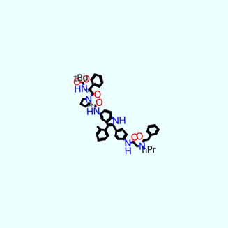 CCCN(CC(=O)Nc1ccc(-c2[nH]c3ccc(NC(=O)[C@@H]4CCCN4C(=O)[C@H](NC(=O)OC(C)(C)C)c4ccccc4)cc3c2-c2ccccc2C)cc1)C(=O)Cc1ccccc1